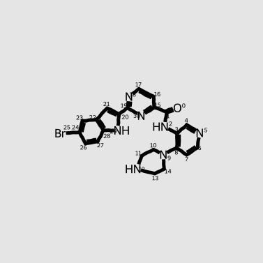 O=C(Nc1cnccc1N1CCNCC1)c1ccnc(-c2cc3cc(Br)ccc3[nH]2)n1